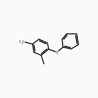 Cc1cc(C(F)(F)F)ccc1Oc1ccccc1